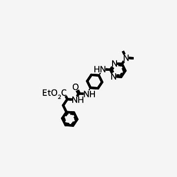 CCOC(=O)C(Cc1ccccc1)NC(=O)N[C@H]1CC[C@@H](Nc2nccc(N(C)C)n2)CC1